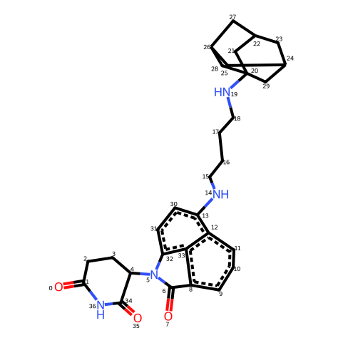 O=C1CCC(N2C(=O)c3cccc4c(NCCCCNC56CC7CC(CC(C7)C5)C6)ccc2c34)C(=O)N1